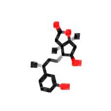 CC[C@H](CC[C@@H]1[C@H]2CC(=O)O[C@H]2C[C@H]1O)c1cccc(O)c1